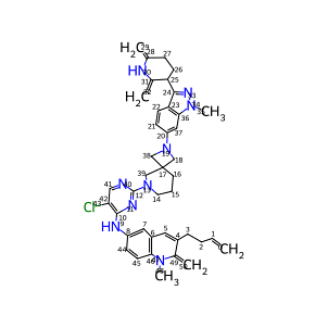 C=CCCC1=Cc2cc(Nc3nc(N4CCCC5(CN(c6ccc7c(C8CCC(=C)NC8=C)nn(C)c7c6)C5)C4)ncc3Cl)ccc2N(C)C1=C